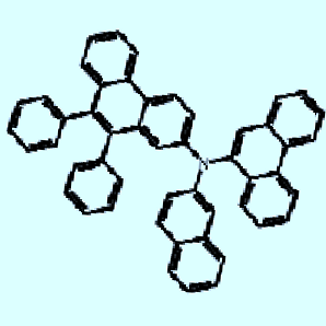 c1ccc(-c2c(-c3ccccc3)c3cc(N(c4ccc5ccccc5c4)c4cc5ccccc5c5ccccc45)ccc3c3ccccc23)cc1